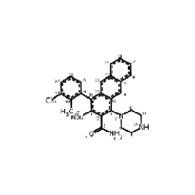 CCCCc1c(C(N)=O)c(N2CCNCC2)c2cc3ccccc3cc2c1-c1cccc(Cl)c1C